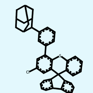 Clc1cc(-c2cccc(C3C4CC5CC(C4)CC3C5)c2)c2c(c1)C1(c3ccccc3S2)c2ccccc2-c2ccccc21